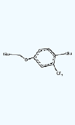 CC(C)(C)COc1ccc(C(C)(C)C)c(C(F)(F)F)c1